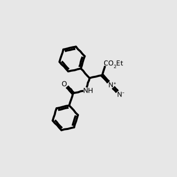 CCOC(=O)C(=[N+]=[N-])C(NC(=O)c1ccccc1)c1ccccc1